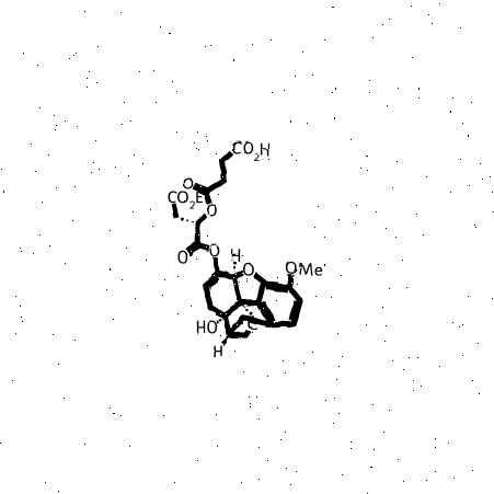 CCOC(=O)C[C@H](OC(=O)CCC(=O)O)C(=O)OC1=CC[C@]2(O)[C@H]3CCC[C@]24c2c(ccc(OC)c2O[C@H]14)C3